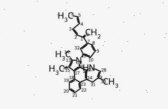 C=C(/C=C\C=C/C)c1cccc(-n2c(C)c(C)c3c4ccccc4c4c(c32)NC=C(C)C4)c1